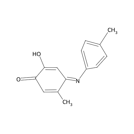 CC1=CC(=O)C(O)=CC1=Nc1ccc(C)cc1